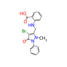 Cn1c(CNc2ccccc2C(=O)O)c(Br)c(=O)n1-c1ccccc1